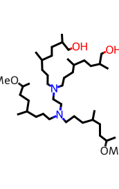 COC(C)CCC(C)CCCN(CCCC(C)CCC(C)OC)CCN(CCCC(C)CCC(C)CO)CCCC(C)CCC(C)CO